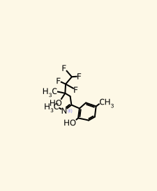 C/N=C(\CC(C)(O)C(F)(F)C(F)F)c1cc(C)ccc1O